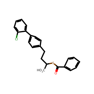 O=C(SC(CCc1ccc(-c2ccccc2Cl)cc1)C(=O)O)c1ccccc1